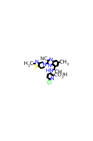 Cc1cc([C@@H](C)Nc2ccc(Cl)nc2C(=O)O)c2nc(N3CCc4sc(C)nc4C3)c(C#N)nc2c1